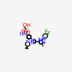 Cc1cc(-c2cnn(-c3ccc(NS(=O)(=O)[C@@H](C)CO)cc3N3CCC4(CC3)CC4)c2)nc(N2CCC(F)(F)CC2)n1